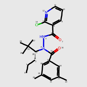 CCC[C@@H](N(NC(=O)c1cccnc1Cl)C(=O)c1cc(C)cc(C)c1)C(C)(C)C